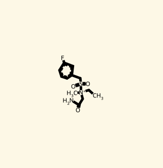 CC[N+](C)(CC(N)=O)S(=O)(=O)Cc1cccc(F)c1